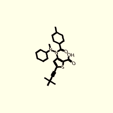 CC1CCC(C(=O)N(c2cc(C#CC(C)(C)C)sc2C(=O)O)N(C)C2CCCCC2)CC1